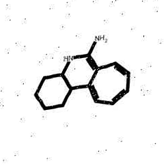 NC1=C2C=CC=CC=C2C2CCCCC2N1